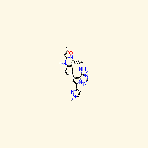 COc1cc(-c2cc(-c3ccn(C)n3)n3ncnc(N)c23)ccc1N(C)c1cc(C)on1